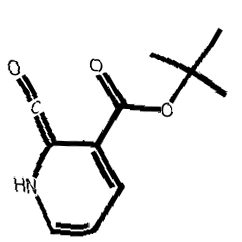 CC(C)(C)OC(=O)C1=CC=CNC1=C=O